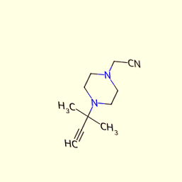 C#CC(C)(C)N1CCN(CC#N)CC1